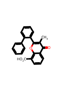 Cc1c(-c2ccccc2-c2ccccc2)oc2c(C(=O)O)cccc2c1=O